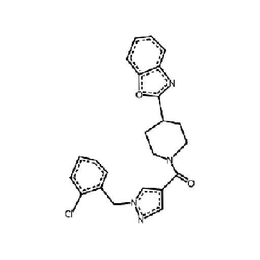 O=C(c1cnn(Cc2ccccc2Cl)c1)N1CCC(c2nc3ccccc3o2)CC1